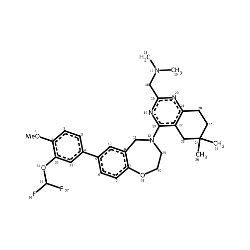 COc1ccc(-c2ccc3c(c2)CN(c2nc(CN(C)C)nc4c2CC(C)(C)CC4)CCO3)cc1OC(F)F